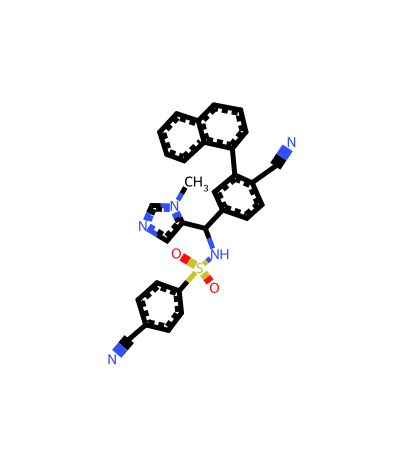 Cn1cncc1C(NS(=O)(=O)c1ccc(C#N)cc1)c1ccc(C#N)c(-c2cccc3ccccc23)c1